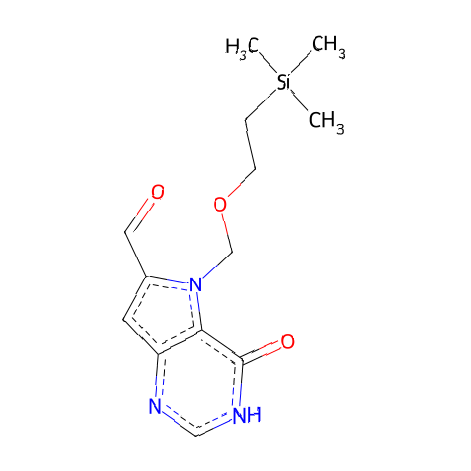 C[Si](C)(C)CCOCn1c(C=O)cc2nc[nH]c(=O)c21